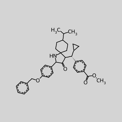 COC(=O)c1ccc([C@@H](C2CC2)C2C(=O)C(c3ccc(OCc4ccccc4)cc3)NC23CCC(C(C)C)CC3)cc1